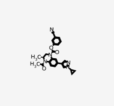 CC(=O)N1c2ccc(-c3cnn(C4CC4)c3)cc2N(C(=O)Oc2cccc(C#N)c2)C[C@@H]1C